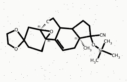 C[C@]12CC=C3C(CC[C@@]45CC6(CC[C@@]34O5)OCCO6)C1CCC2(C#N)O[Si](C)(C)C